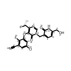 C[C@@H](F)c1ncn(Cc2ccc(CO)[nH]c2=O)c(=O)c1Oc1cc(Cl)cc(C#N)c1F